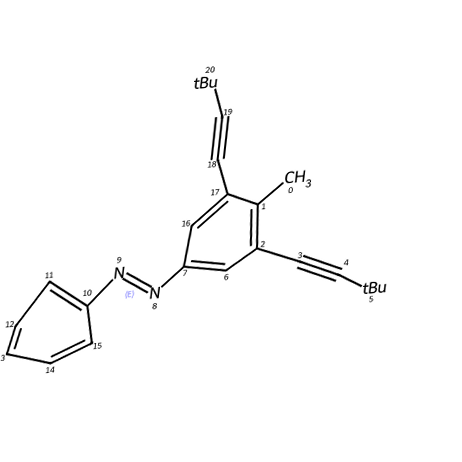 Cc1c(C#CC(C)(C)C)cc(/N=N/c2ccccc2)cc1C#CC(C)(C)C